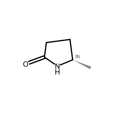 C[C@H]1CCC(=O)N1